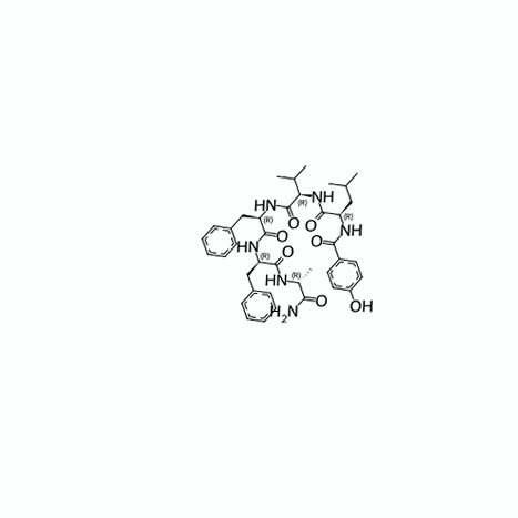 CC(C)C[C@@H](NC(=O)c1ccc(O)cc1)C(=O)N[C@@H](C(=O)N[C@H](Cc1ccccc1)C(=O)N[C@H](Cc1ccccc1)C(=O)N[C@H](C)C(N)=O)C(C)C